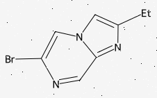 CCc1cn2cc(Br)ncc2n1